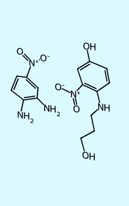 Nc1ccc([N+](=O)[O-])cc1N.O=[N+]([O-])c1cc(O)ccc1NCCCO